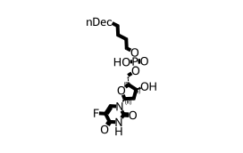 CCCCCCCCCCCCCCOP(=O)(O)OC[C@H]1O[C@@H](n2cc(F)c(=O)[nH]c2=O)C[C@@H]1O